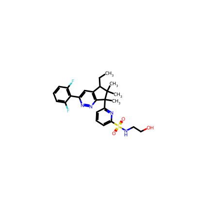 CCC1c2cc(-c3c(F)cccc3F)nnc2C(C)(c2cccc(S(=O)(=O)NCCO)n2)C1(C)C